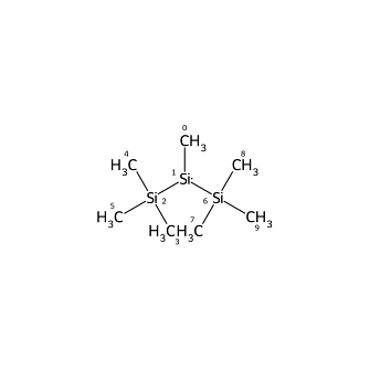 C[Si]([Si](C)(C)C)[Si](C)(C)C